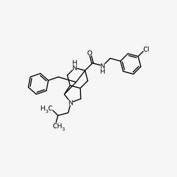 CC(C)CN1CC2CC3(C(=O)NCc4cccc(Cl)c4)NCC2C1C3Cc1ccccc1